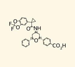 O=C(O)c1ccc([C@H]2C[C@@H](NC(=O)C3(c4ccc5c(c4)OC(F)(F)O5)CC3)C[C@@H](c3ccccc3)O2)cc1